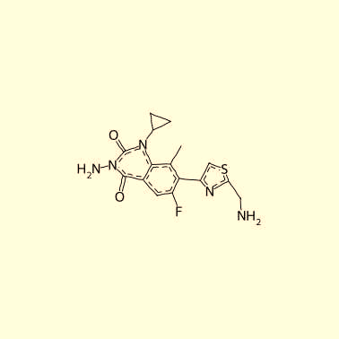 Cc1c(-c2csc(CN)n2)c(F)cc2c(=O)n(N)c(=O)n(C3CC3)c12